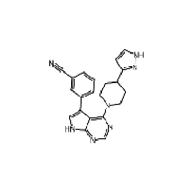 N#Cc1cccc(-c2c[nH]c3ncnc(N4CCC(c5cc[nH]n5)CC4)c23)c1